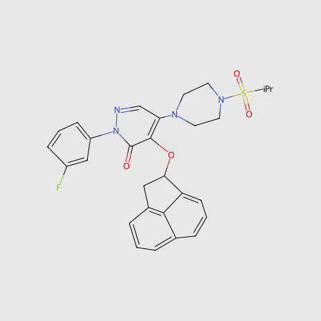 CC(C)S(=O)(=O)N1CCN(c2cnn(-c3cccc(F)c3)c(=O)c2OC2Cc3cccc4cccc2c34)CC1